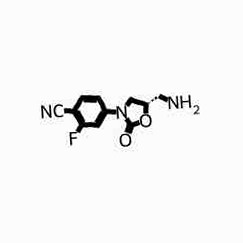 N#Cc1ccc(N2C[C@H](CN)OC2=O)cc1F